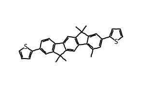 Cc1cc(-c2cccs2)cc2c1-c1cc3c(cc1C2(C)C)-c1ccc(-c2cccs2)cc1C3(C)C